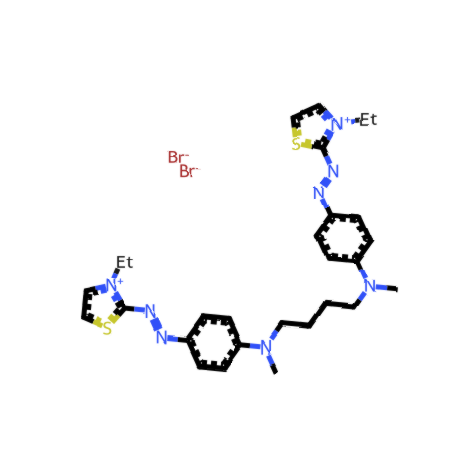 CC[n+]1ccsc1/N=N/c1ccc(N(C)CCCCN(C)c2ccc(/N=N/c3scc[n+]3CC)cc2)cc1.[Br-].[Br-]